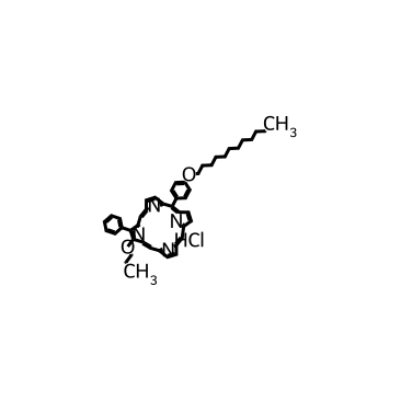 CCCCCCCCCCCCOc1ccc(C2=C3C=CC(=N3)C=C3C=CC(=N3)C=C3N=C(C=C4C=CC2=N4)C(c2ccccc2)=C3OCCC)cc1.Cl